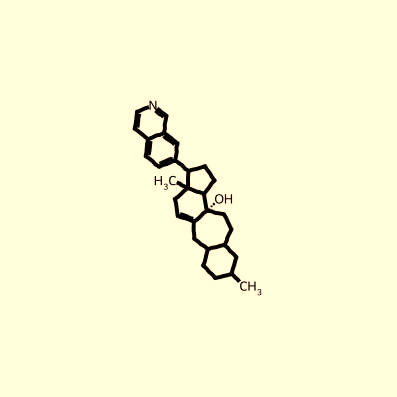 CC1CCC2CC3=CCC4(C)C(c5ccc6ccncc6c5)CCC4[C@@]3(O)CCC2C1